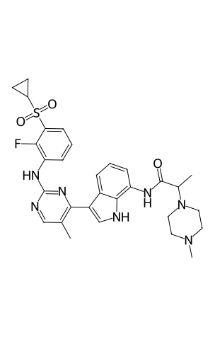 Cc1cnc(Nc2cccc(S(=O)(=O)C3CC3)c2F)nc1-c1c[nH]c2c(NC(=O)C(C)N3CCN(C)CC3)cccc12